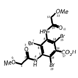 COCC(=O)Nc1c(Br)c(NC(=O)COC)c(Br)c(C(=O)O)c1Br